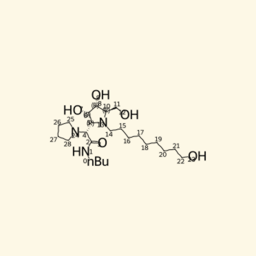 CCCCNC(=O)C([C@@H]1[C@H](O)[C@H](O)[C@@H](CO)N1CCCCCCCCCO)N1CCCC1